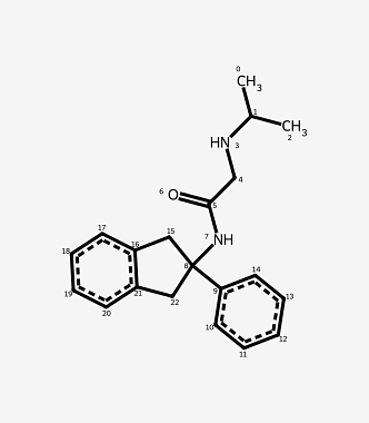 CC(C)NCC(=O)NC1(c2ccccc2)Cc2ccccc2C1